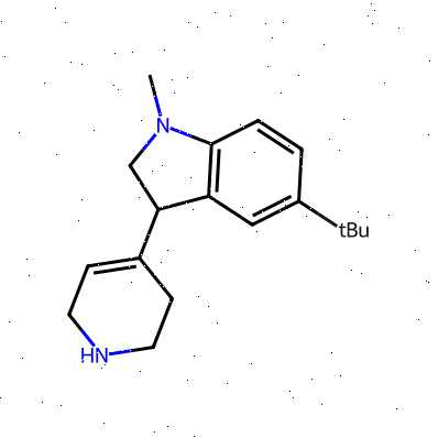 CN1CC(C2=CCNCC2)c2cc(C(C)(C)C)ccc21